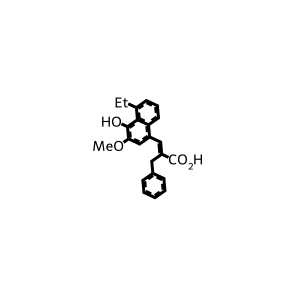 CCc1cccc2c(/C=C(\Cc3ccccc3)C(=O)O)cc(OC)c(O)c12